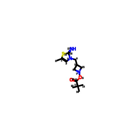 Cc1cn(CC2CN(OC(=O)C(C)(C)C)C2)c(=N)s1